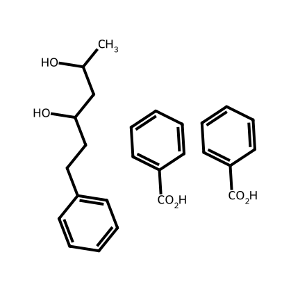 CC(O)CC(O)CCc1ccccc1.O=C(O)c1ccccc1.O=C(O)c1ccccc1